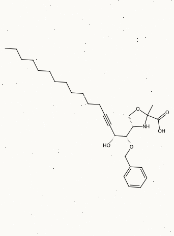 CCCCCCCCCCCCC#C[C@@H](O)[C@@H](OCc1ccccc1)[C@@H]1COC(C)(C(=O)O)N1